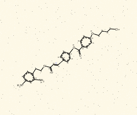 Nc1ccc(CCOC(=O)/C=C/c2ccc(OC(=O)c3ccc(OCCCCCl)cc3)cc2)c(N)c1